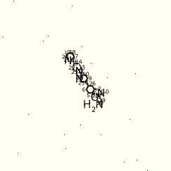 CN(Cc1cccc(-c2ccc(N3CCC(c4ccccn4)CC3)nc2)c1)C(=O)CN